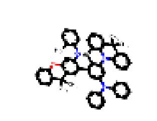 Cc1ccccc1Nc1cc2c(cc1-c1cc(N(c3ccccc3)c3ccccc3)cc3c1Bc1cccc4c1N3c1ccccc1C4(C)C)C(C)(C)c1ccccc1O2